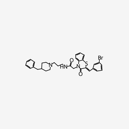 O=C(CN1C(=O)C(=Cc2cccc(Br)c2)Sc2ccccc21)NCCCN1CCC(Cc2ccccc2)CC1